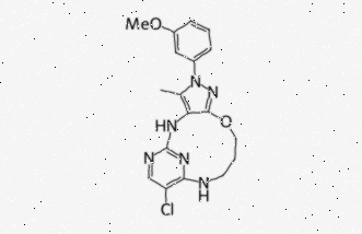 COc1cccc(-n2nc3c(c2C)Nc2ncc(Cl)c(n2)NCCCO3)c1